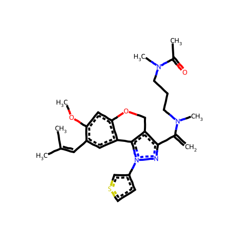 C=C(c1nn(-c2ccsc2)c2c1COc1cc(OC)c(C=C(C)C)cc1-2)N(C)CCCN(C)C(C)=O